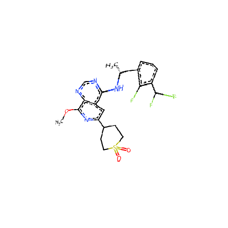 COc1nc(C2CCS(=O)(=O)CC2)cc2c(N[C@H](C)c3cccc(C(F)F)c3F)ncnc12